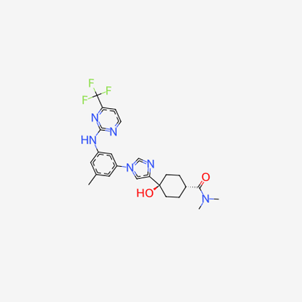 Cc1cc(Nc2nccc(C(F)(F)F)n2)cc(-n2cnc([C@]3(O)CC[C@H](C(=O)N(C)C)CC3)c2)c1